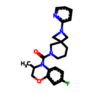 CC1COc2cc(F)ccc2N1C(=O)N1CCCC2(C1)CN(c1ccccn1)C2